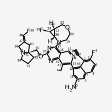 C#Cc1c(F)ccc2cc(N)cc(-c3ncc4c(N5CCOC[C@H]6[C@H](F)[C@H]65)nc(OC[C@@]56CCCN5C/C(=C/F)C6)nc4c3C)c12